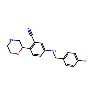 N#Cc1cc(NCc2ccc(F)cc2)ccc1C1CNCCO1